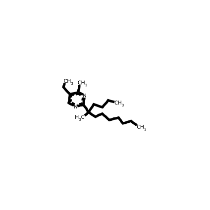 CCCCCCCC(C)(CCCC)c1ncc(CC)c(C)n1